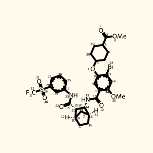 COC(=O)C1CCC(Oc2cc(C(=O)N[C@@H]3[C@H]4CC[C@H](C4)[C@@H]3C(=O)Nc3cccc(S(=O)(=O)C(F)(F)F)c3)c(OC)cc2Br)CC1